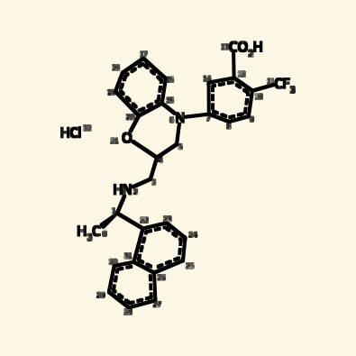 C[C@@H](NCC1CN(c2ccc(C(F)(F)F)c(C(=O)O)c2)c2ccccc2O1)c1cccc2ccccc12.Cl